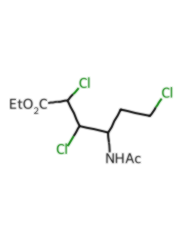 CCOC(=O)C(Cl)C(Cl)C(CCCl)NC(C)=O